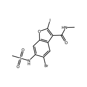 CNC(=O)c1c(I)oc2cc(NS(C)(=O)=O)c(Br)cc12